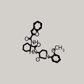 COc1ccccc1N1CCC(NC(=O)C2(NC(=O)c3cc4ccccc4o3)CCCCC2)C(=O)C1